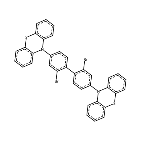 Brc1cc(N2c3ccccc3Sc3ccccc32)ccc1-c1ccc(N2c3ccccc3Sc3ccccc32)cc1Br